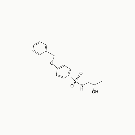 CC(O)CNS(=O)(=O)c1ccc(OCc2ccccc2)cc1